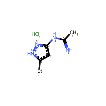 CCc1cc(NC(C)=N)n[nH]1.Cl